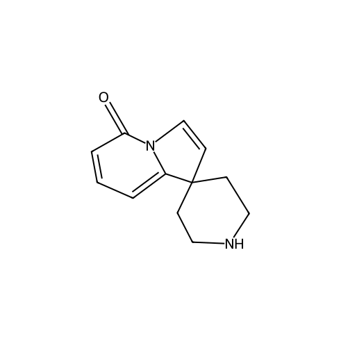 O=c1cccc2n1C=CC21CCNCC1